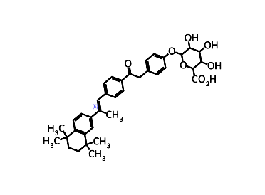 C/C(=C\c1ccc(C(=O)Cc2ccc(OC3OC(C(=O)O)C(O)C(O)C3O)cc2)cc1)c1ccc2c(c1)C(C)(C)CCC2(C)C